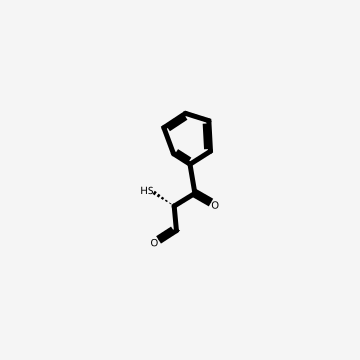 O=[C][C@H](S)C(=O)c1ccccc1